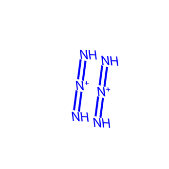 N=[N+]=N.N=[N+]=N